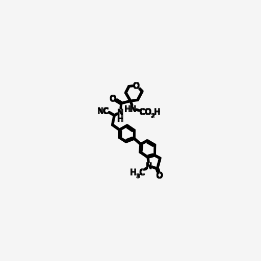 CN1C(=O)Cc2ccc(-c3ccc(CC(C#N)NC(=O)C4(NC(=O)O)CCOCC4)cc3)cc21